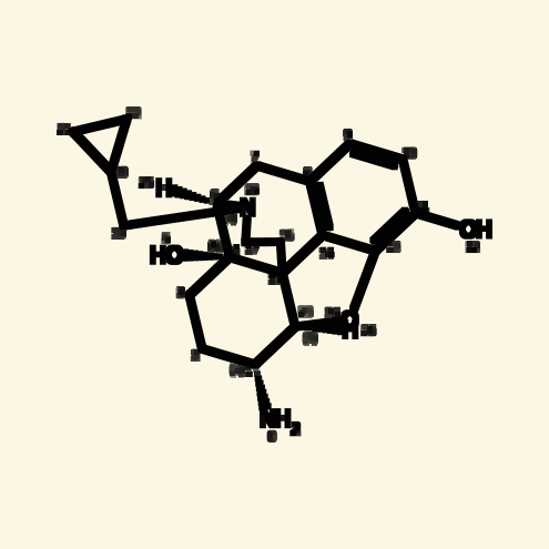 N[C@@H]1CC[C@@]2(O)[C@H]3Cc4ccc(O)c5c4C2(CCN3CC2CC2)[C@H]1O5